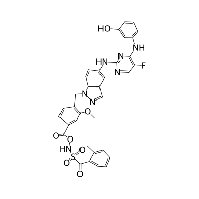 COc1cc(C(=O)ONS(=O)(=O)C(=O)c2ccccc2C)ccc1Cn1ncc2cc(Nc3ncc(F)c(Nc4cccc(O)c4)n3)ccc21